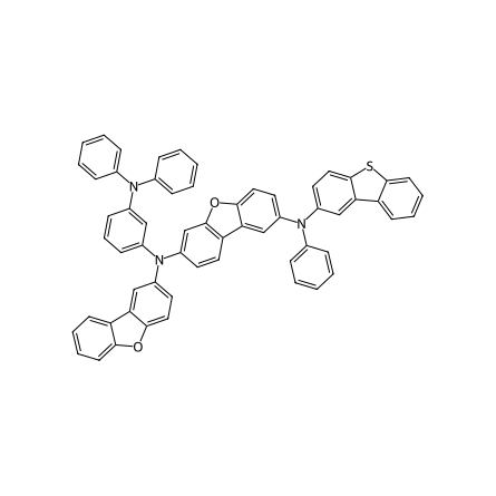 c1ccc(N(c2ccccc2)c2cccc(N(c3ccc4c(c3)oc3ccc(N(c5ccccc5)c5ccc6sc7ccccc7c6c5)cc34)c3ccc4oc5ccccc5c4c3)c2)cc1